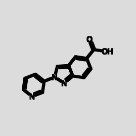 O=C(O)c1ccc2nn(-c3cccnc3)cc2c1